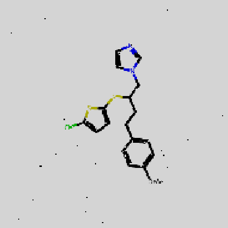 COc1ccc(CCC(Cn2ccnc2)Sc2ccc(Cl)s2)cc1